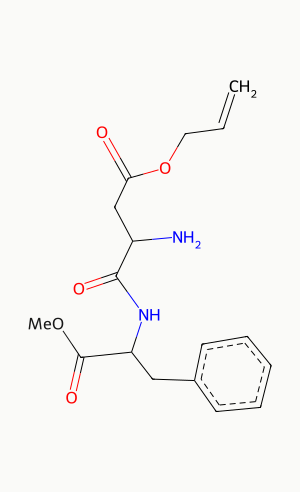 C=CCOC(=O)CC(N)C(=O)NC(Cc1ccccc1)C(=O)OC